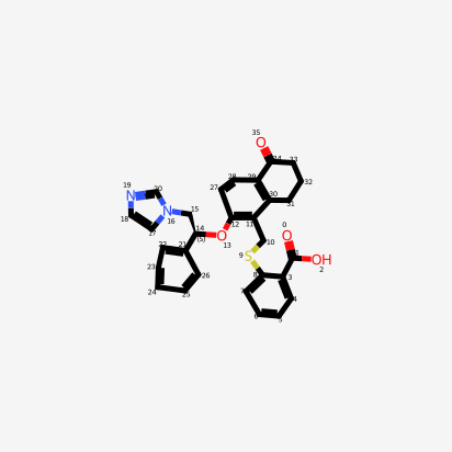 O=C(O)c1ccccc1SCc1c(O[C@H](Cn2ccnc2)c2ccccc2)ccc2c1CCCC2=O